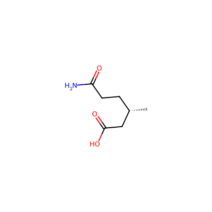 C[C@@H](CCC(N)=O)CC(=O)O